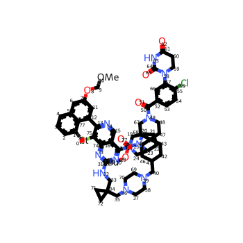 CCc1cccc2cc(OCOC)cc(-c3ncc4c(N5CC6CCC(C5)N6C(=O)OC(C)(C)C)nc(NCC5(CN6CCN(CC7CCC8(CC7)CCN(C(=O)c7ccc(Cl)c(N9CCC(=O)NC9=O)c7)CC8)CC6)CC5)nc4c3F)c12